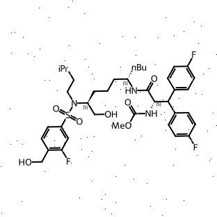 CCCC[C@@H](CCC[C@@H](CO)N(CCC(C)C)S(=O)(=O)c1ccc(CO)c(F)c1)NC(=O)[C@@H](NC(=O)OC)C(c1ccc(F)cc1)c1ccc(F)cc1